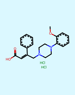 COc1ccccc1N1CCN(C/C(=C/C(=O)O)c2ccccc2)CC1.Cl.Cl